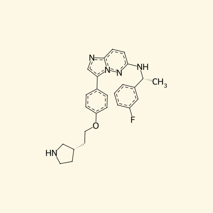 C[C@@H](Nc1ccc2ncc(-c3ccc(OCC[C@@H]4CCNC4)cc3)n2n1)c1cccc(F)c1